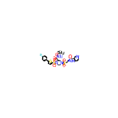 CC(C)(C)ONC(=O)[C@H]1CN(S(=O)(=O)CCNC(=O)c2cccnc2)CCN1S(=O)(=O)c1ccc(-c2ccc(F)cc2)s1